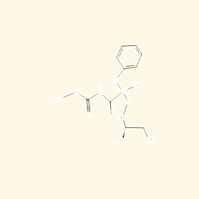 CCCCCCNC(=O)NC(C(C)C)[PH](O)(ON[C@H](C=O)CO)Oc1ccccc1